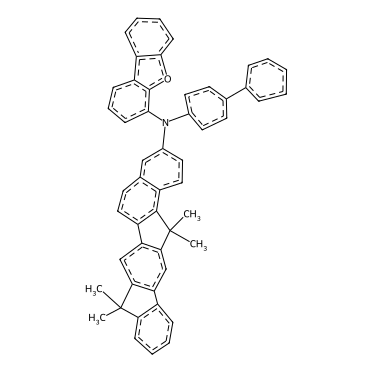 CC1(C)c2ccccc2-c2cc3c(cc21)-c1ccc2cc(N(c4ccc(-c5ccccc5)cc4)c4cccc5c4oc4ccccc45)ccc2c1C3(C)C